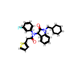 O=C1C(N(C(=O)Cc2cccs2)c2cccc(F)c2)c2ccccc2N1CC1CCCCC1